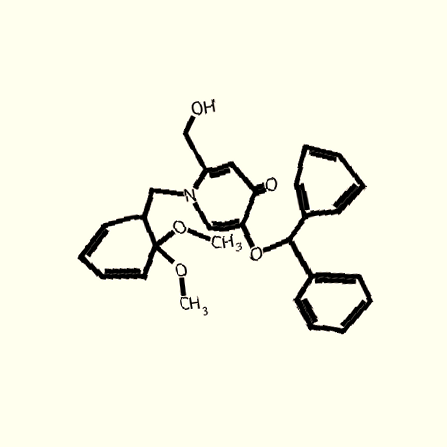 COC1(OC)C=CC=CC1Cn1cc(OC(c2ccccc2)c2ccccc2)c(=O)cc1CO